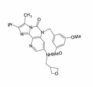 COc1cc(Cn2c(=O)n3c(C)c(C(C)C)nc3c3ncc(NCC4COC4)cc32)cc(OC)c1